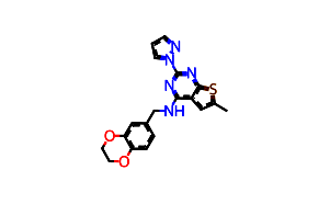 Cc1cc2c(NCc3ccc4c(c3)OCCO4)nc(-n3cccn3)nc2s1